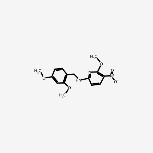 COc1ccc(CNc2ccc([N+](=O)[O-])c(OC)n2)c(OC)c1